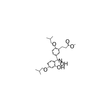 COC(=O)CCc1cc(C(=NO)c2ccc(OCC(C)C)cc2O)ccc1OCC(C)C